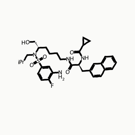 CC(C)CN([C@H](CO)CCCCNC(=O)[C@H](Cc1ccc2ccccc2c1)NC(=O)C1CC1)S(=O)(=O)c1ccc(F)c(N)c1